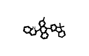 Cc1ccc2c(-c3ccc4ccccc4n3)c3ccccc3c(-c3ccc4c(c3)C3=C(C=CCC3)C4(C)C)c2c1